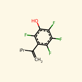 C=C(c1c(F)c(O)c(F)c(F)c1F)C(C)C